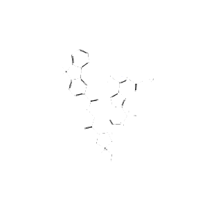 COC(=O)/N=C(/N)c1csc([C@@H](C)NC(=O)[C@@H]2C[C@](F)(CF)CN2C(=O)CNC(=O)c2ccc3c(c2)-c2ccccc2C3(F)F)c1